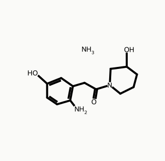 N.Nc1ccc(O)cc1CC(=O)N1CCCC(O)C1